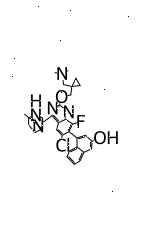 CN(C)CC1(COc2nc(N3CC4(C)CCC3CN4)c3cc(Cl)c(-c4cc(O)cc5ccccc45)c(F)c3n2)CC1